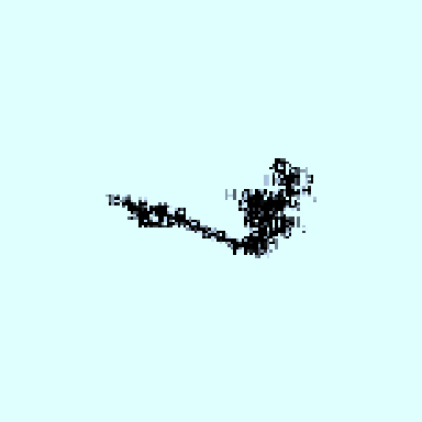 CC[C@H](C)[C@@H]([C@@H](CC(=O)N1CCC[C@H]1[C@H](OC)[C@@H](C)C(=O)N[C@H](C)[C@@H](O)c1ccccc1)OC)N(C)C(=O)[C@@H](NC(=O)[C@H](C(C)C)N(C)C(=O)OCc1ccc(NC(=O)[C@H](CCCNC(N)=O)NC(=O)[C@@H](NC(=O)CCOCCOCCOCCOCCNC(=O)OC[C@@H]2[C@@H]3CCc4nnn(CC(=O)NCC(C)(C)C)c4CC[C@@H]32)C(C)C)cc1)C(C)C